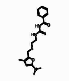 Cc1cc(N(C)C)oc1CSCCNC(=S)NC(=O)c1ccccc1